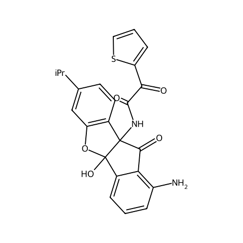 CC(C)c1ccc2c(c1)OC1(O)c3cccc(N)c3C(=O)C21NC(=O)C(=O)c1cccs1